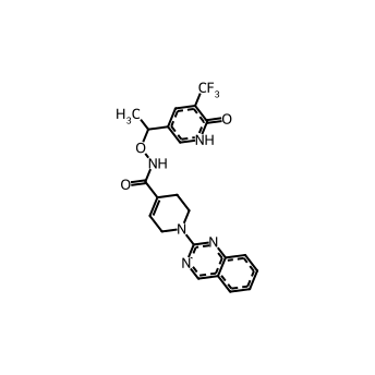 CC(ONC(=O)C1=CCN(c2ncc3ccccc3n2)CC1)c1c[nH]c(=O)c(C(F)(F)F)c1